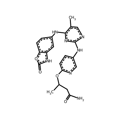 Cc1cnc(Nc2ccc(OC(C)CC(N)=O)nc2)nc1Nc1ccc2oc(=O)[nH]c2c1